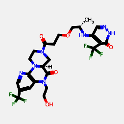 C[C@@H](COCCC(=O)N1CCN2c3ncc(C(F)(F)F)cc3N(CCO)C(=O)[C@@H]2C1)Nc1cn[nH]c(=O)c1C(F)(F)F